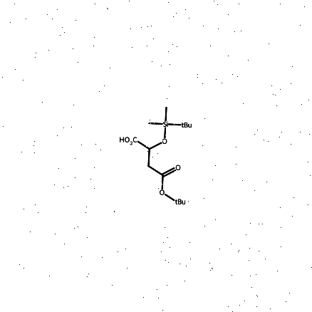 CC(C)(C)OC(=O)CC(O[Si](C)(C)C(C)(C)C)C(=O)O